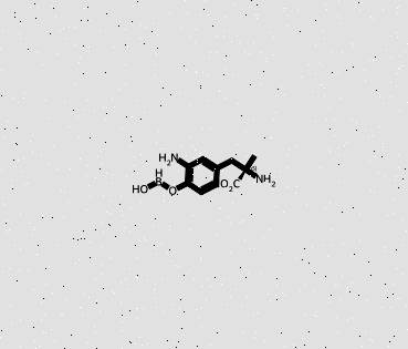 C[C@](N)(Cc1ccc(OBO)c(N)c1)C(=O)O